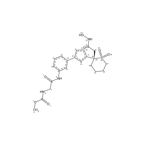 COC(=O)NCC(=O)Nc1cccc(-c2ccc([C@@]3(CC(=O)NO)CCCCS3(=O)=O)s2)c1